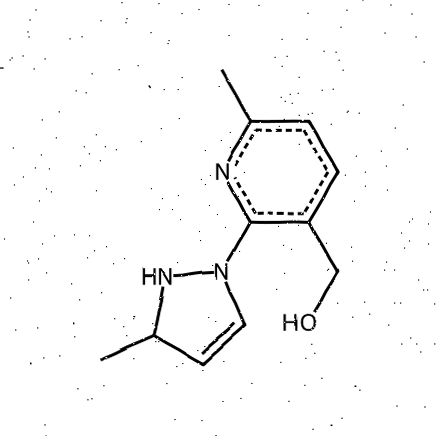 Cc1ccc(CO)c(N2C=CC(C)N2)n1